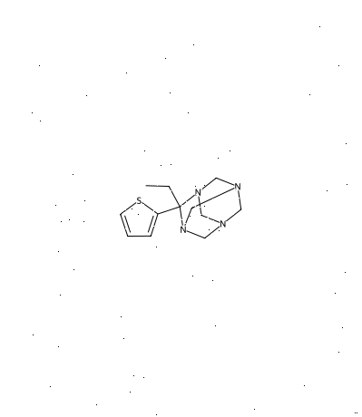 CCC1(c2cccs2)N2CN3CN(C2)CN1C3